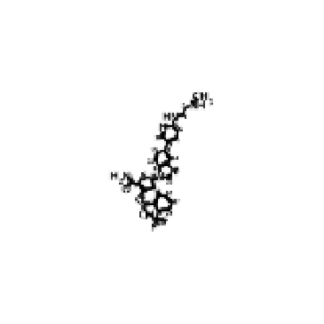 CNCCNC1CC=C(c2ccc3c(c2)ncn3-c2cc(O[C@H](C)c3ccccc3C(F)(F)F)c(C(N)=O)s2)C=N1